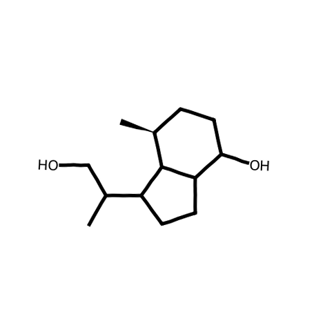 CC(CO)C1CCC2C(O)CC[C@H](C)C12